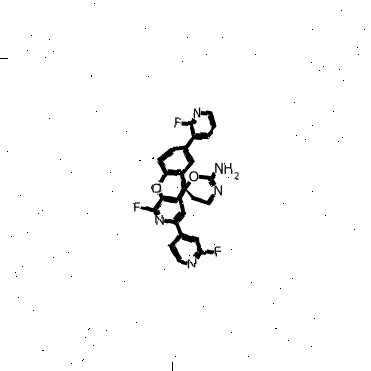 NC1=NCC[C@]2(O1)c1cc(-c3cccnc3F)ccc1Oc1c2cc(-c2ccnc(F)c2)nc1F